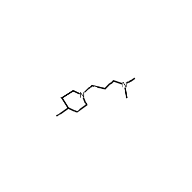 CC1CCN(CCCN(C)C)CC1